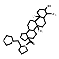 CC1C(O)CCC2(C)C1CCC1(C)C3CCC4(C(=O)N5CCCC5CN5CCSCC5)CCCC4C3CCC21